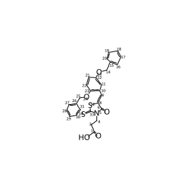 O=C(O)CCN1C(=O)C(=Cc2cc(OCc3ccccc3)ccc2OCc2ccccc2)SC1=S